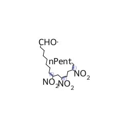 CCCCC/C=C(\C/C=C(\C/C(=C\CCCCCC[C]=O)[N+](=O)[O-])[N+](=O)[O-])[N+](=O)[O-]